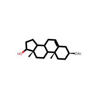 CC(=O)O[C@H]1CC[C@@]2(C)C(=CCC3C4CCC(O)[C@@]4(C)CCC32)C1